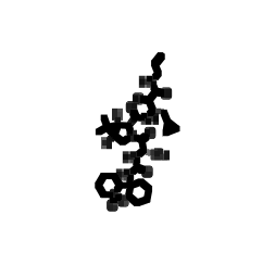 C=CCNC(=O)C(=O)[C@H](CC1CC1)NC(=O)[C@@H]1[C@@H]2[C@H](CN1C(=O)[C@@H](NC(=O)NC1(C3CCCCS3(=O)=O)CCCCC1)C(C)(C)C)C2(C)C